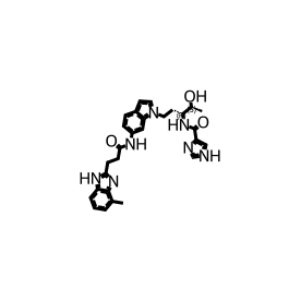 Cc1cccc2[nH]c(CCC(=O)Nc3ccc4ccn(CC[C@@H](NC(=O)c5c[nH]cn5)[C@H](C)O)c4c3)nc12